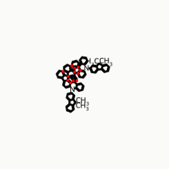 CC1(C)c2ccccc2-c2ccc(N(c3ccc4c(c3)C3(c5ccccc5-4)c4ccccc4C4(c5ccccc5-c5c(N(c6ccc7c(c6)C(C)(C)c6ccccc6-7)c6ccccc6-c6ccccc6)cccc54)c4ccccc43)c3ccccc3-c3ccccc3)cc21